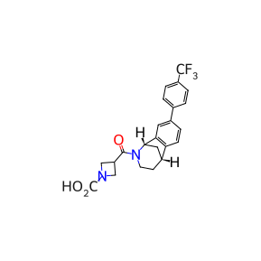 O=C(O)N1CC(C(=O)N2CC[C@@H]3C[C@H]2c2cc(-c4ccc(C(F)(F)F)cc4)ccc23)C1